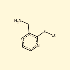 CCSc1ncccc1CN